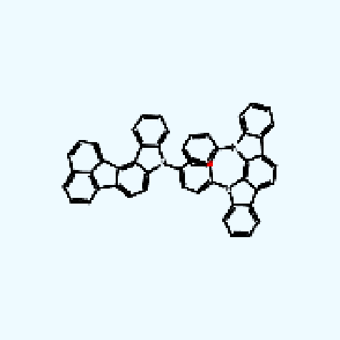 c1ccc(-n2c3ccccc3c3ccc4c5ccccc5n(-c5ccc(-n6c7ccccc7c7c8c(ccc76)-c6cccc7cccc-8c67)cc5)c4c32)cc1